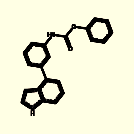 O=C(Nc1cccc(-c2cccc3[nH]ccc23)c1)Oc1ccccc1